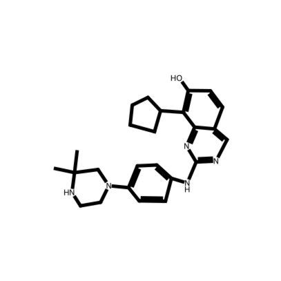 CC1(C)CN(c2ccc(Nc3ncc4ccc(O)c(C5CCCC5)c4n3)cc2)CCN1